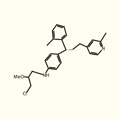 COC(CCl)CNc1ccc([C@@H](CCc2ccnc(C)c2)c2ccccc2C)cc1